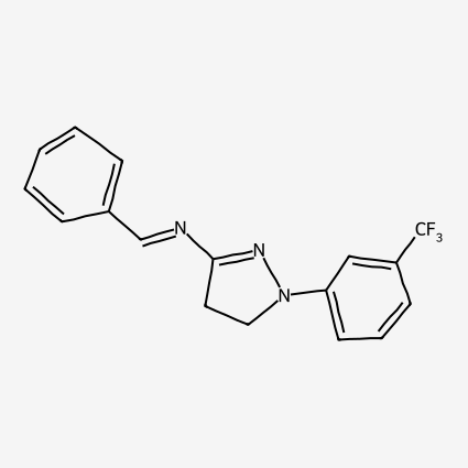 FC(F)(F)c1cccc(N2CCC(/N=C/c3ccccc3)=N2)c1